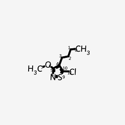 CCCCc1c(OC)nsc1Cl